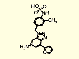 Cc1cc(Cn2nnc3c2CN(N)C=C3c2ccco2)ccc1NS(=O)(=O)O